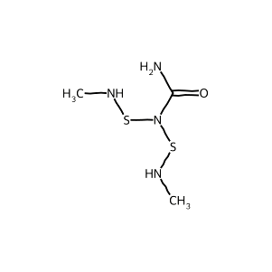 CNSN(SNC)C(N)=O